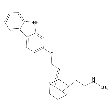 CNCCC1C(=CCOc2ccc3c(c2)[nH]c2ccccc23)N2CCC1CC2